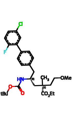 CCOC(=O)[C@](C)(CCOC)C[C@@H](Cc1ccc(-c2cc(Cl)ccc2F)cc1)NC(=O)OC(C)(C)C